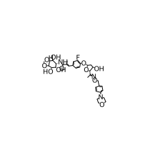 C/C(=C\c1ccc(O[C@H]2C[C@@H](O)[C@@H](/C(C)=N/OCc3ccc(N4CCOCC4)cc3)O2)c(F)c1)C(=O)N[C@@H]1C(O)C(O)C2OCO[C@H]2[C@@H]1O